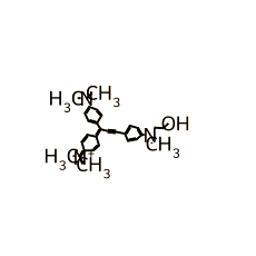 CN(C)c1ccc(C(C#Cc2ccc(N(C)CCO)cc2)=C2C=CC(=[N+](C)C)C=C2)cc1